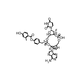 Cc1cc(O)ccc1C(=O)Oc1ccc(CS[P@@]2(=O)OC[C@H]3O[C@@H](n4ccc(=O)[nH]c4=O)[C@H](F)[C@@H]3OP(=O)(O)OC[C@H]3O[C@@H](n4cnc5c(N)ncnc54)[C@H](O2)[C@@H]3F)cc1